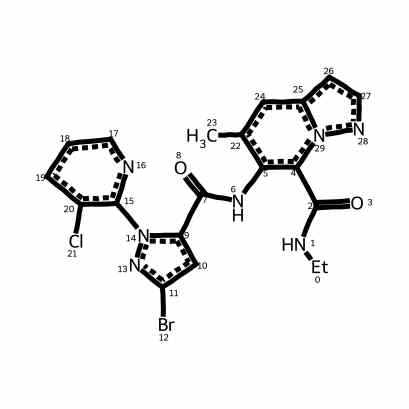 CCNC(=O)c1c(NC(=O)c2cc(Br)nn2-c2ncccc2Cl)c(C)cc2ccnn12